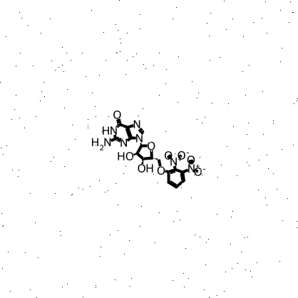 Nc1nc2c(ncn2[C@@H]2O[C@H](COc3cccc([N+](=O)[O-])c3[N+](=O)[O-])[C@@H](O)[C@H]2O)c(=O)[nH]1